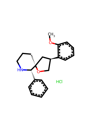 COc1ccccc1[C@H]1CO[C@]2(CCCN[C@H]2c2ccccc2)C1.Cl